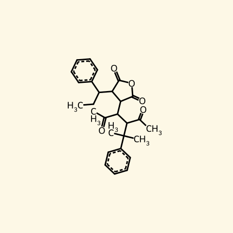 CCC(c1ccccc1)C1C(=O)OC(=O)C1C(C(C)=O)C(C(C)=O)C(C)(C)c1ccccc1